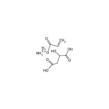 C=CC(=O)OC.N.O=C(O)CC(O)C(=O)O